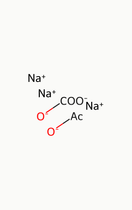 CC(=O)[O-].O=C([O-])[O-].[Na+].[Na+].[Na+]